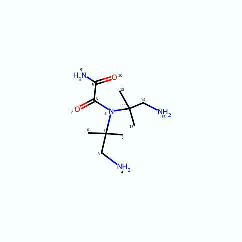 CC(C)(CN)N(C(=O)C(N)=O)C(C)(C)CN